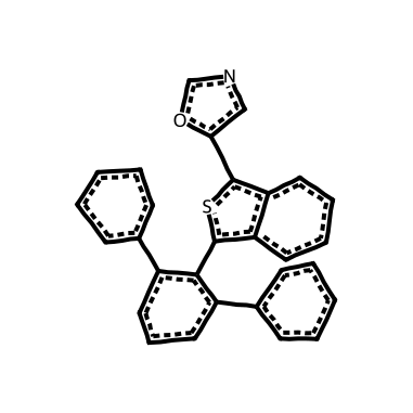 c1ccc(-c2cccc(-c3ccccc3)c2-c2sc(-c3cnco3)c3ccccc23)cc1